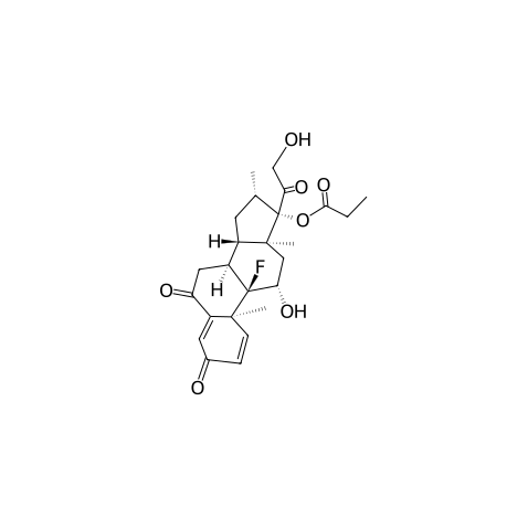 CCC(=O)O[C@@]1(C(=O)CO)[C@@H](C)C[C@H]2[C@@H]3CC(=O)C4=CC(=O)C=C[C@]4(C)[C@@]3(F)[C@@H](O)C[C@@]21C